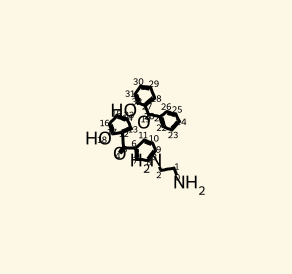 NCCN.O=C(c1ccccc1)c1ccccc1O.O=C(c1ccccc1)c1ccccc1O